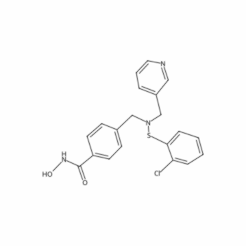 O=C(NO)c1ccc(CN(Cc2cccnc2)Sc2ccccc2Cl)cc1